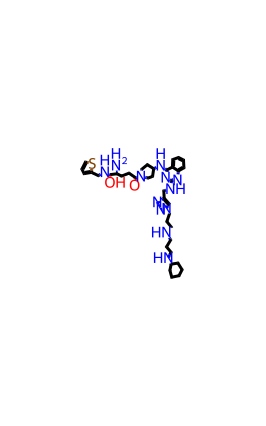 N[C@@H](CCC(=O)N1CCC(Nc2nc(NCc3cn(CCCNCCCNC4CCCCC4)nn3)nc3ccccc23)CC1)C(O)NCc1cccs1